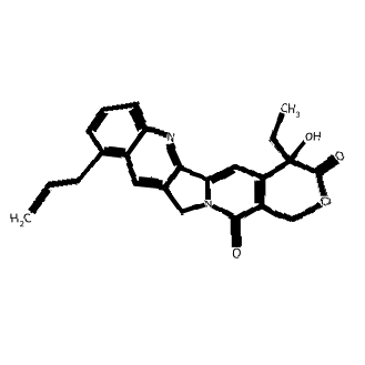 C=CCc1cccc2nc3c(cc12)Cn1c-3cc2c(c1=O)COC(=O)C2(O)CC